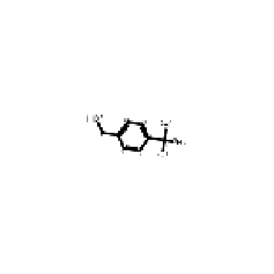 [2H]C([2H])([2H])c1ccc(CO)cc1